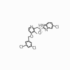 Cc1c(OCc2cc(Cl)cc(Cl)c2)ccnc1C[S+]([O-])c1nc2cc(Cl)ccc2[nH]1